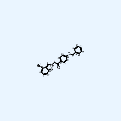 O=C(Cn1cc2c(Br)cccc2n1)c1ccc(OCc2ccccc2)cc1